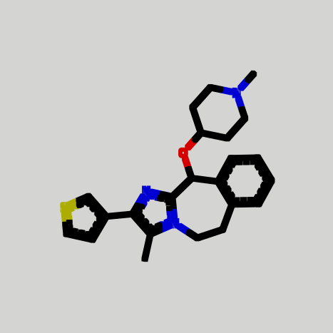 Cc1c(-c2ccsc2)nc2n1CCc1ccccc1C2OC1CCN(C)CC1